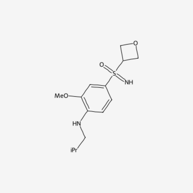 COc1cc(S(=N)(=O)C2COC2)ccc1NCC(C)C